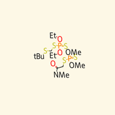 CCOP(=S)(OCC)SCSC(C)(C)C.CNC(=O)CSP(=S)(OC)OC